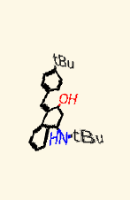 CC(C)(C)NC1CC(O)/C(=C\c2ccc(C(C)(C)C)cc2)c2ccccc21